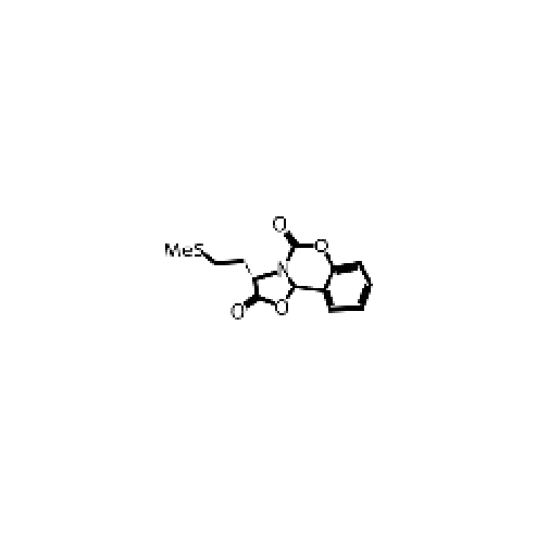 CSCC[C@H]1C(=O)OC2c3ccccc3OC(=O)N21